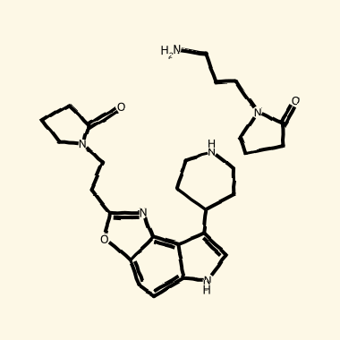 NCCCN1CCCC1=O.O=C1CCCN1CCc1nc2c(ccc3[nH]cc(C4CCNCC4)c32)o1